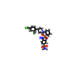 CN(C)S(=O)(=O)c1ccc(NS(=O)(=O)c2ccccc2N2CCC(c3ccc(Cl)cc3F)CC2)cc1